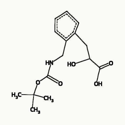 CC(C)(C)OC(=O)NCc1ccccc1CC(O)C(=O)O